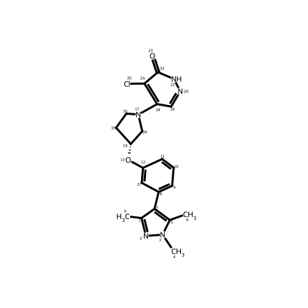 Cc1nn(C)c(C)c1-c1cccc(O[C@@H]2CCN(c3cn[nH]c(=O)c3Cl)C2)c1